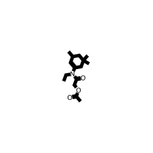 CCN(C(=O)COC(C)=O)C1=CC(C)CC(C)(C)C1